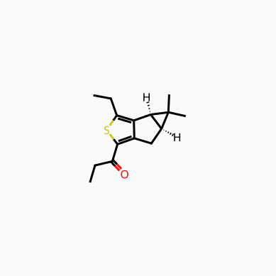 CCC(=O)c1sc(CC)c2c1C[C@H]1[C@@H]2C1(C)C